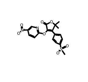 CC1(C)OC(=O)C(Oc2ccc([N+](=O)[O-])cn2)=C1c1ccc(S(C)(=O)=O)cc1